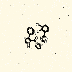 Cc1c(Cl)cccc1-c1noc([C@@H]2CCCN2C(=O)c2[nH]cnc2-c2ccccc2)n1